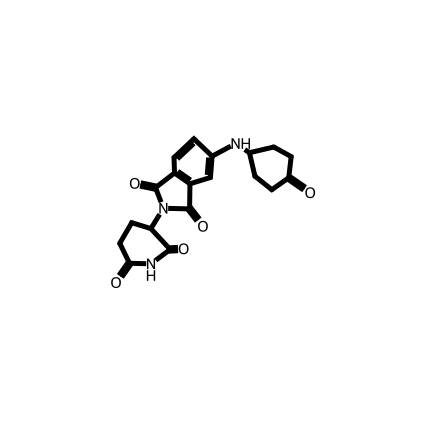 O=C1CCC(Nc2ccc3c(c2)C(=O)N(C2CCC(=O)NC2=O)C3=O)CC1